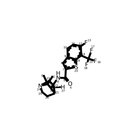 CC1(C)[C@H](NC(=O)c2cc3ccc(F)c(C(F)(F)F)c3s2)C2CCN1CC2